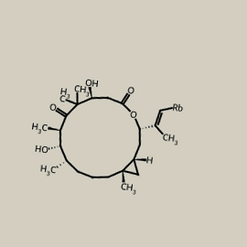 C/C(=[CH]\[Rb])[C@@H]1C[C@@H]2C[C@]2(C)CCC[C@H](C)[C@H](O)[C@@H](C)C(=O)C(C)(C)[C@@H](O)CC(=O)O1